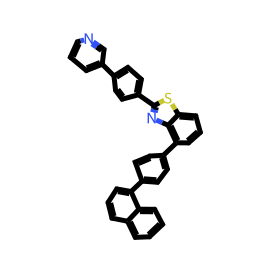 c1cncc(-c2ccc(-c3nc4c(-c5ccc(-c6cccc7ccccc67)cc5)cccc4s3)cc2)c1